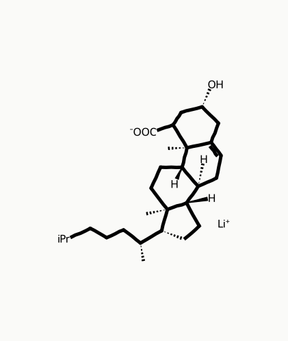 CC(C)CCC[C@@H](C)[C@H]1CC[C@H]2[C@@H]3CC=C4C[C@@H](O)CC(C(=O)[O-])[C@]4(C)[C@H]3CC[C@]12C.[Li+]